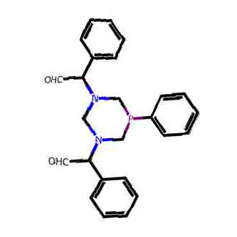 O=CC(c1ccccc1)N1CN(C(C=O)c2ccccc2)CP(c2ccccc2)C1